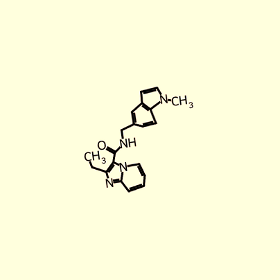 CCc1nc2ccccn2c1C(=O)NCc1ccc2c(ccn2C)c1